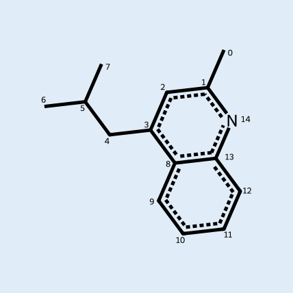 Cc1cc(CC(C)C)c2ccccc2n1